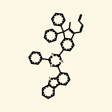 C=C/C=C\C1=C(C)C(c2ccccc2)(c2ccccc2)c2cc(-c3nc(-c4ccccc4)nc(-c4cccc5c4sc4ccccc45)n3)ccc21